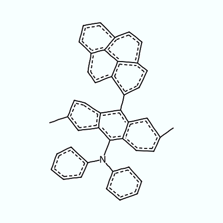 Cc1ccc2c(N(c3ccccc3)c3ccccc3)c3cc(C)ccc3c(-c3ccc4ccc5cccc6ccc3c4c56)c2c1